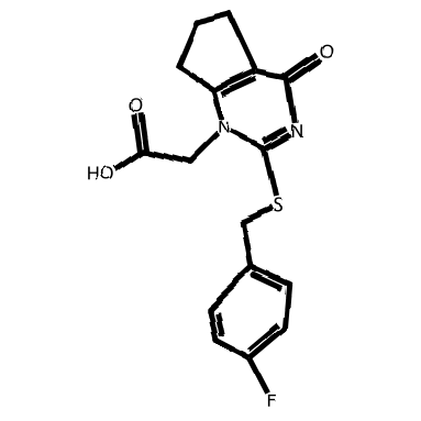 O=C(O)Cn1c(SCc2ccc(F)cc2)nc(=O)c2c1CCC2